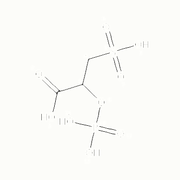 O=C(O)C(CS(=O)(=O)O)OP(=O)(O)O